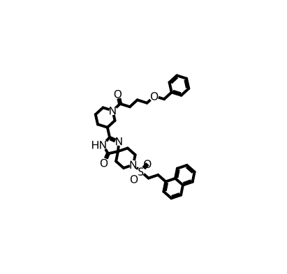 O=C(CCCOCc1ccccc1)N1CCCC(C2=NC3(CCN(S(=O)(=O)CCc4cccc5ccccc45)CC3)C(=O)N2)C1